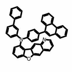 c1ccc(-c2cccc(N(c3ccc(-c4cc5ccccc5c5ccccc45)cc3)c3cccc4oc5cc6cccnc6cc5c34)c2)cc1